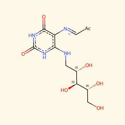 CC(=O)/C=N/c1c(NC[C@H](O)[C@H](O)[C@H](O)CO)[nH]c(=O)[nH]c1=O